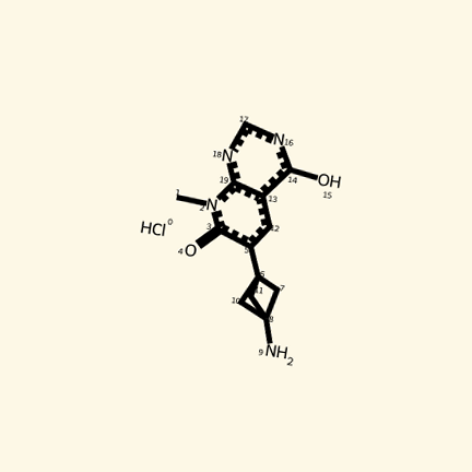 Cl.Cn1c(=O)c(C23CC(N)(C2)C3)cc2c(O)ncnc21